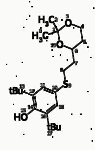 CC1(C)OCCC(CCSc2cc(C(C)(C)C)c(O)c(C(C)(C)C)c2)O1